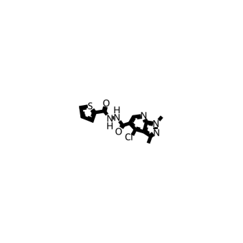 Cc1nn(C)c2ncc(C(=O)NNC(=O)c3cccs3)c(Cl)c12